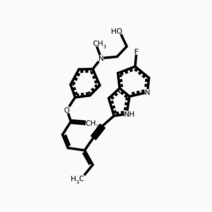 C=C(/C=C\C(C#Cc1cc2cc(F)cnc2[nH]1)=C/C)Oc1ccc(N(C)CCO)cc1